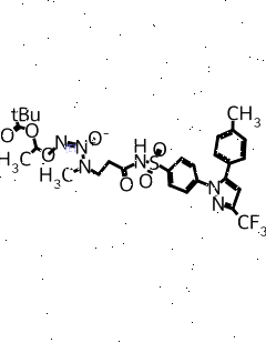 Cc1ccc(-c2cc(C(F)(F)F)nn2-c2ccc(S(=O)(=O)NC(=O)CCN(C)/[N+]([O-])=N\OC(C)OC(=O)C(C)(C)C)cc2)cc1